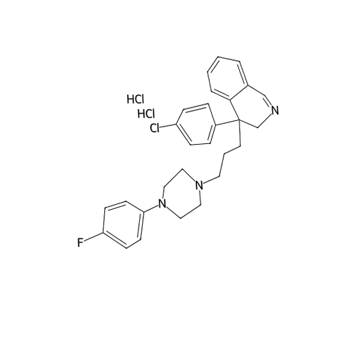 Cl.Cl.Fc1ccc(N2CCN(CCCC3(c4ccc(Cl)cc4)CN=Cc4ccccc43)CC2)cc1